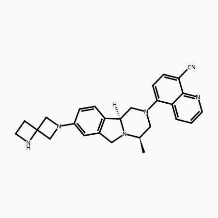 C[C@@H]1CN(c2ccc(C#N)c3ncccc23)C[C@@H]2c3ccc(N4CC5(CCN5)C4)cc3CN12